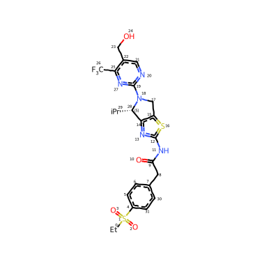 CCS(=O)(=O)c1ccc(CC(=O)Nc2nc3c(s2)CN(c2ncc(CO)c(C(F)(F)F)n2)[C@H]3C(C)C)cc1